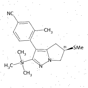 CS[C@@H]1Cc2c(-c3ccc(C#N)cc3C)c([Si](C)(C)C)nn2C1